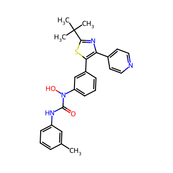 Cc1cccc(NC(=O)N(O)c2cccc(-c3sc(C(C)(C)C)nc3-c3ccncc3)c2)c1